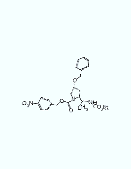 CCOC(=O)NC(C)[C@@H]1C[C@@H](OCc2ccccc2)CN1C(=O)OCc1ccc([N+](=O)[O-])cc1